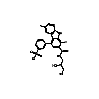 CCS(=O)(=O)c1cccc(-c2cc(C(=O)NCC(O)CO)c(C)c3[nH]c4ncc(C)cc4c23)c1